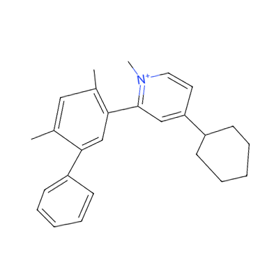 Cc1cc(C)c(-c2cc(C3CCCCC3)cc[n+]2C)cc1-c1ccccc1